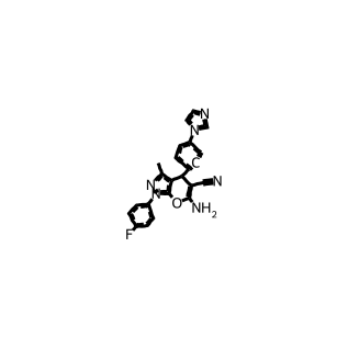 Cc1nn(-c2ccc(F)cc2)c2c1C(c1ccc(-n3ccnc3)cc1)C(C#N)=C(N)O2